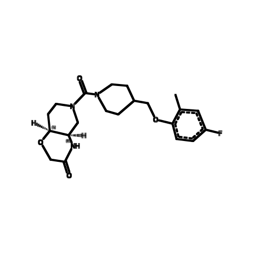 Cc1cc(F)ccc1OCC1CCN(C(=O)N2CC[C@@H]3OCC(=O)N[C@@H]3C2)CC1